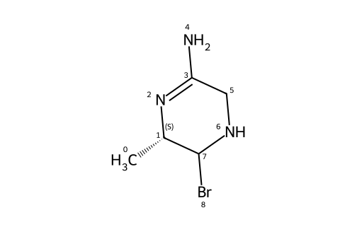 C[C@@H]1N=C(N)CNC1Br